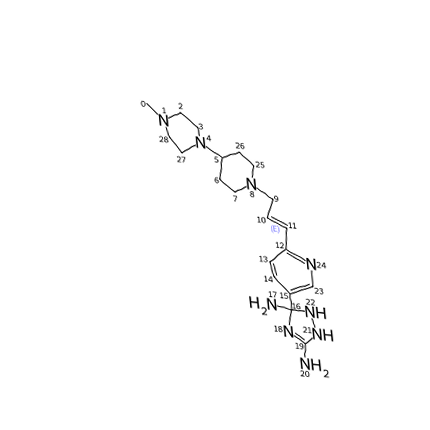 CN1CCN(C2CCN(C/C=C/c3ccc(C4(N)N=C(N)NN4)cn3)CC2)CC1